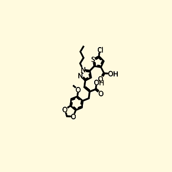 CCCCn1nc(C=C(Cc2cc3c(cc2OC)OCO3)C(=O)O)cc1-c1sc(Cl)cc1C(=O)O